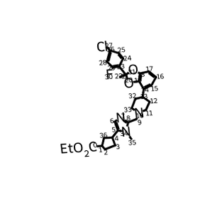 CCOC(=O)C1CCC(c2cnc(CN3CCC(c4cccc5c4OC(C)(c4ccc(Cl)cc4F)O5)CC3)n2C)C1